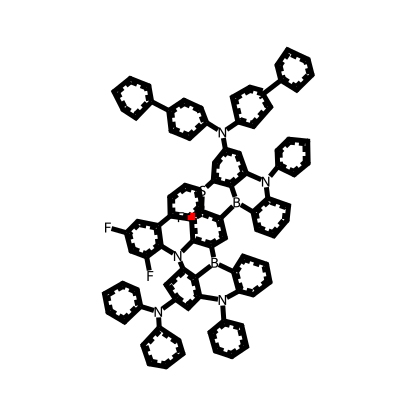 Fc1cc(F)c(N2c3cc(N(c4ccccc4)c4ccccc4)cc4c3B(c3ccccc3N4c3ccccc3)c3cc4c(c(F)c32)Sc2cc(N(c3ccc(-c5ccccc5)cc3)c3ccc(-c5ccccc5)cc3)cc3c2B4c2ccccc2N3c2ccccc2)c(-c2ccccc2)c1